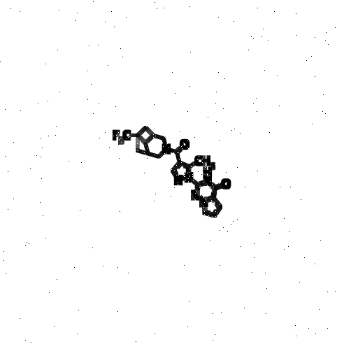 Cc1c(C(=O)N2CC3CC4(C(F)(F)F)CC(C2)C34)cnn1-c1nn2cccc2c(=O)[nH]1